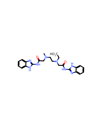 CN(CCN(CC(=O)O)CC(=O)Nc1nc2ccccc2[nH]1)CC(=O)Nc1nc2ccccc2[nH]1